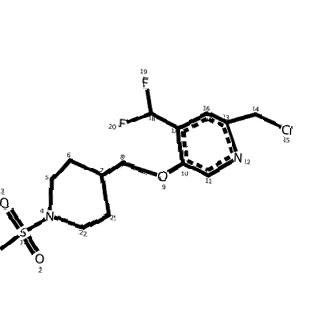 CS(=O)(=O)N1CCC(COc2cnc(CCl)cc2C(F)F)CC1